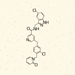 O=C(NCc1n[nH]c2ccc(Cl)cc12)c1cncc(Cc2ccc(Cn3ccccc3=O)c(Cl)c2)c1